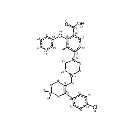 CC1(C)CCC(CN2CCN(c3ccc(C(=O)O)c(Oc4cccnc4)c3)CC2)=C(c2ccc(Cl)cc2)C1